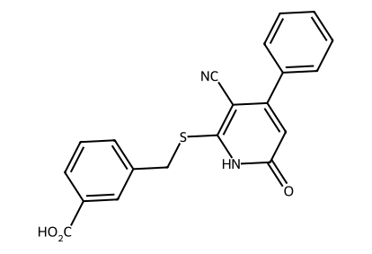 N#Cc1c(-c2ccccc2)cc(=O)[nH]c1SCc1cccc(C(=O)O)c1